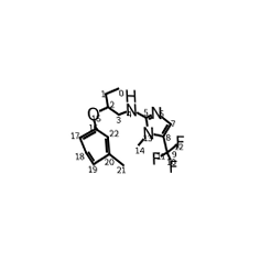 CCC(CNc1ncc(C(F)(F)F)n1C)Oc1cccc(C)c1